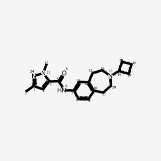 Cc1cc(C(=O)Nc2ccc3c(c2)CCN(C2CCC2)CC3)n(C)n1